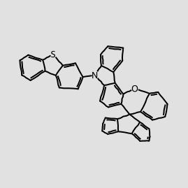 c1ccc2c(c1)Oc1c(ccc3c1c1ccccc1n3-c1ccc3c(c1)sc1ccccc13)C21c2ccccc2-c2ccccc21